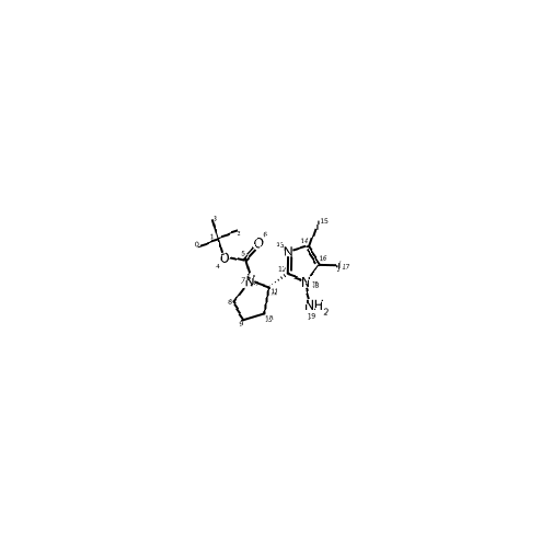 CC(C)(C)OC(=O)N1CCC[C@H]1c1nc(I)c(I)n1N